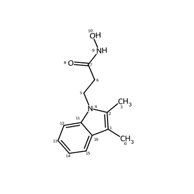 Cc1c(C)n(CCC(=O)NO)c2ccccc12